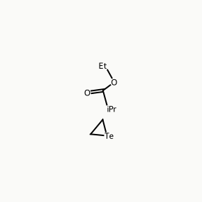 C1C[Te]1.CCOC(=O)C(C)C